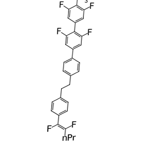 CCC/C(F)=C(\F)c1ccc(CCc2ccc(-c3cc(F)c(-c4cc(F)c(C(F)(F)F)c(F)c4)c(F)c3)cc2)cc1